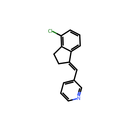 Clc1cccc2c1CCC2=Cc1cccnc1